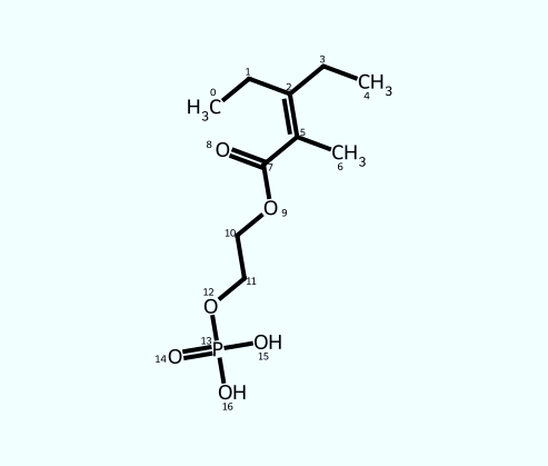 CCC(CC)=C(C)C(=O)OCCOP(=O)(O)O